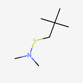 CN(C)SCC(C)(C)C